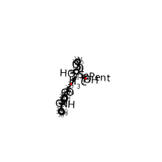 CCCCCC(C)(O)CS[C@H]1C(OC2CCCCO2)CC(O)[C@@H]1CC=CCCCC(=O)Oc1ccc(NC(=O)c2ccccc2)cc1